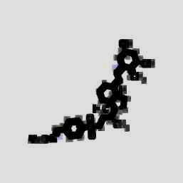 C=C1/C(=C\C=C2/CCC[C@]3(C)[C@@H]([C@H](C)CCS(=O)(=O)c4ccc(/C=N/OC)cc4)CC[C@@H]23)C[C@@H](O)C[C@@H]1O